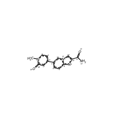 Cn1ccc(-c2ccc3nc(C(N)=O)cn3c2)cc1=O